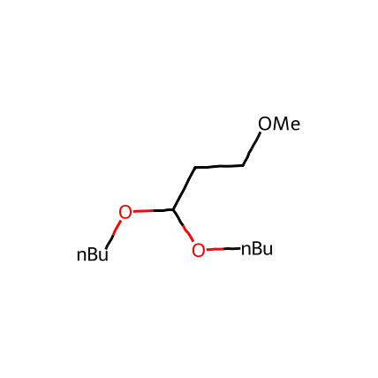 CCCCOC(CCOC)OCCCC